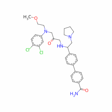 COCCN(CC(=O)CNC(CN1CCCC1)c1ccc(-c2ccc(C(N)=O)cc2)cc1)c1ccc(Cl)c(Cl)c1